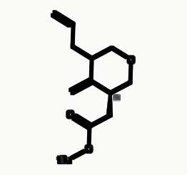 C=CCC1COC[C@@H](CC(=O)OC(C)(C)C)C1=C